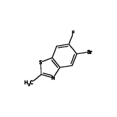 Cc1nc2cc(Br)c(F)cc2s1